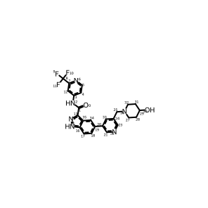 O=C(Nc1ccnc(C(F)(F)F)c1)c1n[nH]c2ccc(-c3cncc(CN4CCC(O)CC4)c3)cc12